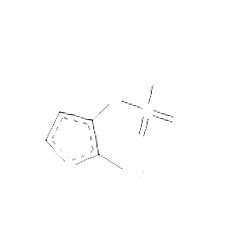 CCCCS(=O)(=O)Oc1ccsc1OC